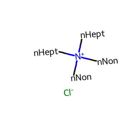 CCCCCCCCC[N+](CCCCCCC)(CCCCCCC)CCCCCCCCC.[Cl-]